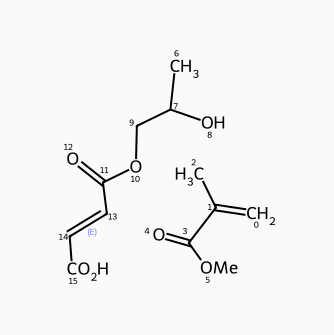 C=C(C)C(=O)OC.CC(O)COC(=O)/C=C/C(=O)O